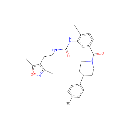 Cc1ccc(C(=O)N2CCC(c3ccc(C#N)cc3)CC2)cc1NC(=O)NCCc1c(C)noc1C